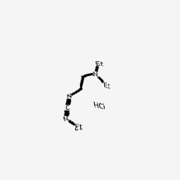 CCN=C=NCCN(CC)CC.Cl